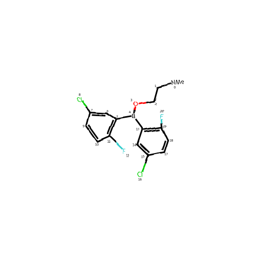 CNCCOB(c1cc(Cl)ccc1F)c1cc(Cl)ccc1F